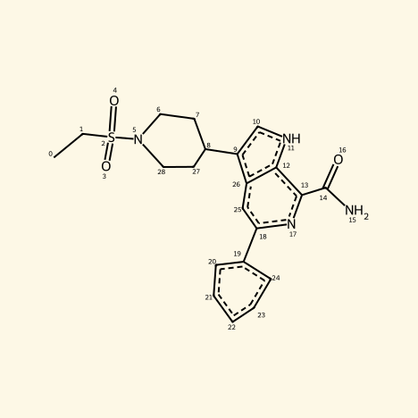 CCS(=O)(=O)N1CCC(c2c[nH]c3c(C(N)=O)nc(-c4ccccc4)cc23)CC1